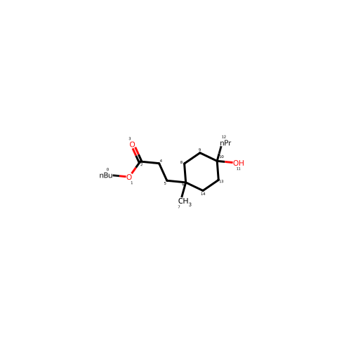 CCCCOC(=O)CCC1(C)CCC(O)(CCC)CC1